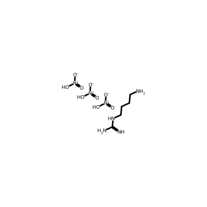 N=C(N)NCCCCN.O=[N+]([O-])O.O=[N+]([O-])O.O=[N+]([O-])O